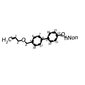 C=CCOCc1ccc(-c2ccc(OCCCCCCCCC)cc2)cc1